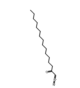 CCCCCCCCCCCCCCC(=O)C=[N+]=[N-]